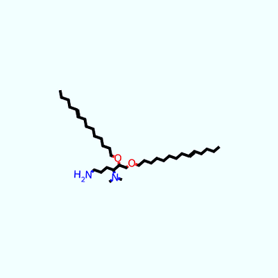 CCCCC=CCCCCCCCCOCC(OCCCCCCCCC=CCCCC)C(CCCN)N(C)C